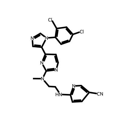 CN(CCNc1ccc(C#N)cn1)c1nccc(-c2cncn2-c2ccc(Cl)cc2Cl)n1